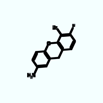 Nc1ccc2c(c1)Cc1ccc(F)c(Br)c1O2